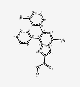 CCNC(=O)c1cn2c(N)nc(-c3cccc(C#N)c3)c(-c3ccncc3)c2n1